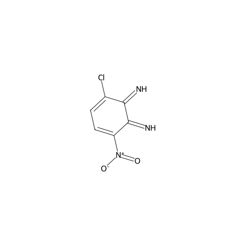 N=C1C(=N)C([N+](=O)[O-])=CC=C1Cl